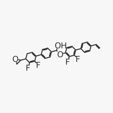 C=Cc1ccc(-c2ccc(OC(O)c3ccc(C4=CCC(C5CO5)C(F)=C4F)cc3)c(F)c2F)cc1